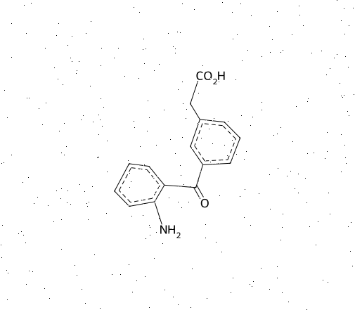 Nc1ccccc1C(=O)c1cccc(CC(=O)O)c1